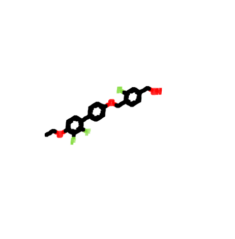 CCOc1ccc(-c2ccc(OCc3ccc(CO)cc3F)cc2)c(F)c1F